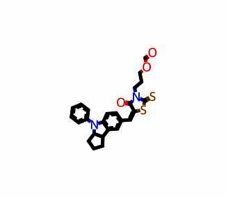 O=COCCCN1C(=O)/C(=C\c2ccc3c(c2)C2CCCC2N3c2ccccc2)SC1=S